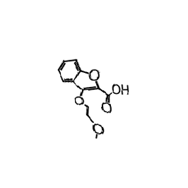 COCCOc1c(C(=O)O)oc2ccccc12